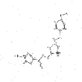 COc1ccc(CSC2CNC(CCC(=O)c3ccc(F)cc3)C2)cc1